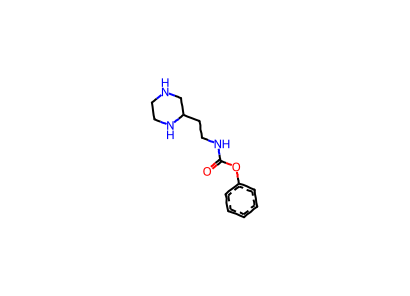 O=C(NCCC1CNCCN1)Oc1ccccc1